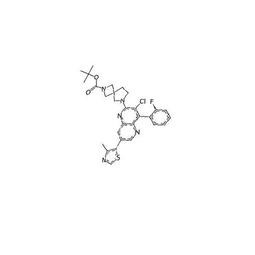 Cc1ncsc1-c1cnc2c(-c3ccccc3F)c(Cl)c(N3CCC4(CN(C(=O)OC(C)(C)C)C4)C3)nc2c1